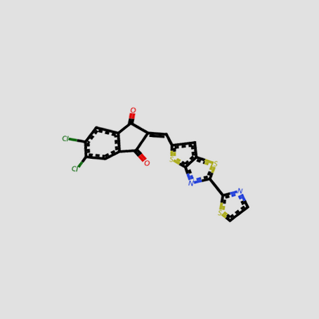 O=C1C(=Cc2cc3sc(-c4nccs4)nc3s2)C(=O)c2cc(Cl)c(Cl)cc21